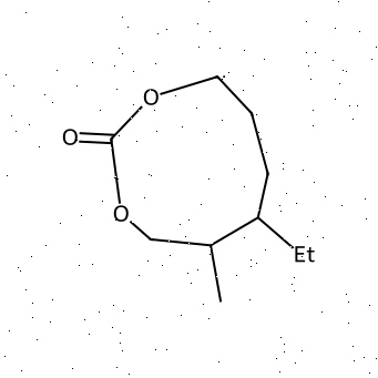 [CH2]CC1CC[CH]OC(=O)OCC1C